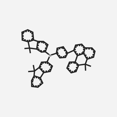 CC1(C)c2ccccc2-c2ccc(N(c3ccc(-c4ccc5cccc6c5c4-c4ccccc4C6(C)C)cc3)c3ccc4c(c3)C(C)(C)c3ccccc3-4)cc21